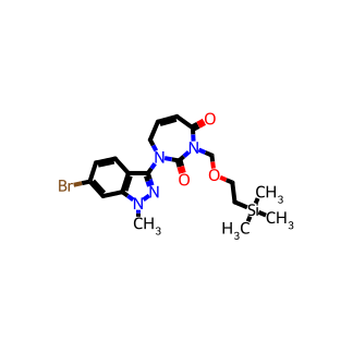 Cn1nc(N2CC=CC(=O)N(COCC[Si](C)(C)C)C2=O)c2ccc(Br)cc21